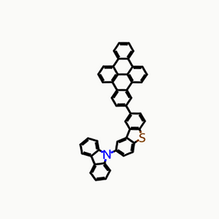 c1ccc2c(c1)c1cccc3c4ccc(-c5ccc6sc7ccc(-n8c9ccccc9c9ccccc98)cc7c6c5)cc4c4cccc2c4c13